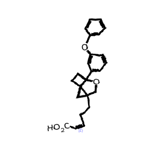 O=C(O)/C=C\CCC12COC3(c4cccc(Oc5ccccc5)c4)CCC13C2